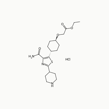 CCOC(=O)CO[C@H]1CC[C@H](c2sc(C3CCNCC3)nc2C(N)=O)CC1.Cl